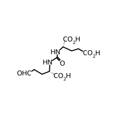 O=CCC[C@H](NC(=O)N[C@@H](CCC(=O)O)C(=O)O)C(=O)O